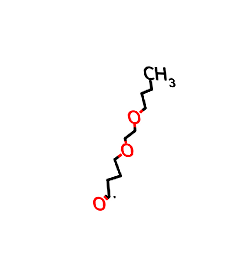 CCCCOCCOCCC[C]=O